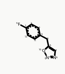 Fc1ccc(CC2=CN=[N+]O2)cc1